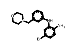 Nc1ccc(Br)cc1Nc1cccc(CN2CCOCC2)c1